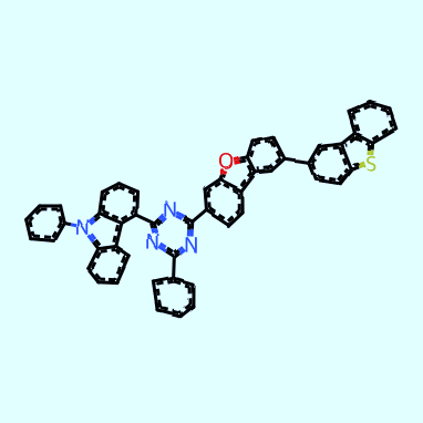 c1ccc(-c2nc(-c3ccc4c(c3)oc3ccc(-c5ccc6sc7ccccc7c6c5)cc34)nc(-c3cccc4c3c3ccccc3n4-c3ccccc3)n2)cc1